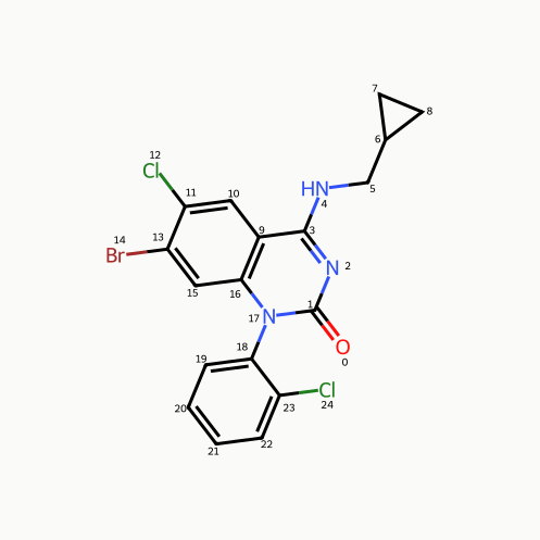 O=c1nc(NCC2CC2)c2cc(Cl)c(Br)cc2n1-c1ccccc1Cl